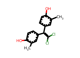 Cc1cc(C(=C(Cl)Cl)c2ccc(O)c(C)c2)ccc1O